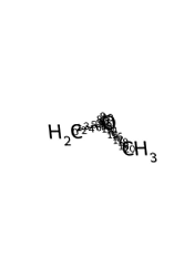 C=CCCCCC[C@H]1CCCO[C@@H]1CCCCCCCC